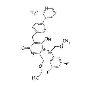 CCOCc1nc(=O)c(Cc2ccc(-c3cccnc3C)cc2)c(O)n1[C@@H](COC)c1cc(F)cc(F)c1